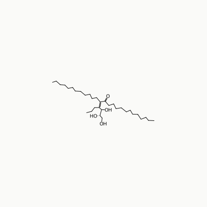 CCCCCCCCCCCCC(=O)C(CCCCCCCCCCCC)=C(CCC)C(O)[C@@H](O)CO